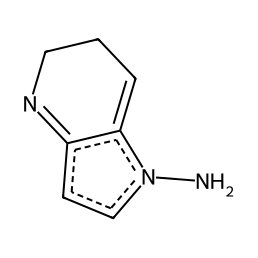 Nn1ccc2c1=CCCN=2